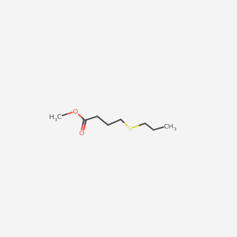 CCCSCCCC(=O)OC